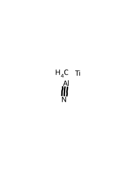 C.[N]#[Al].[Ti]